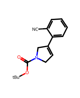 CC(C)(C)OC(=O)N1CC=C(c2ccccc2C#N)C1